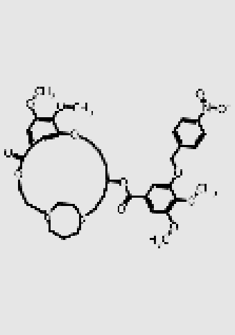 COc1cc2cc(c1OC)OCCCC(OC(=O)c1cc(OC)c(OC)c(OCc3ccc([N+](=O)[O-])cc3)c1)CCN1CCCN(CCOC2=O)CC1